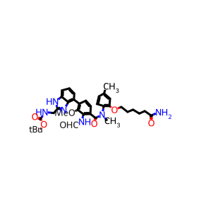 COc1c(-c2cccc3[nH]c(CNC(=O)OC(C)(C)C)nc23)ccc(C(=O)N(C)c2ccc(C)cc2OCCCCCC(N)=O)c1NC=O